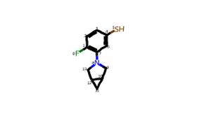 Fc1ccc(S)cc1N1CC2CC2C1